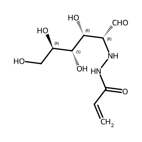 C=CC(=O)NN[C@@H](C=O)[C@@H](O)[C@H](O)[C@H](O)CO